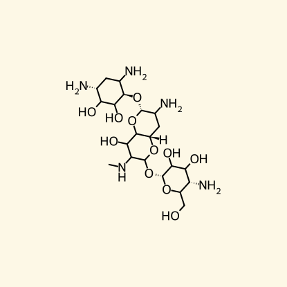 CNC1C(O[C@H]2OC(CO)[C@@H](N)C(O)C2O)O[C@H]2CC(N)[C@@H](O[C@@H]3C(N)C[C@@H](N)C(O)C3O)OC2C1O